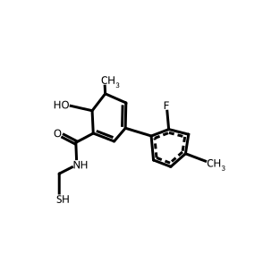 Cc1ccc(C2=CC(C)C(O)C(C(=O)NCS)=C2)c(F)c1